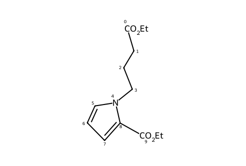 CCOC(=O)CCCn1cccc1C(=O)OCC